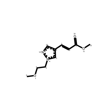 COCCn1cc(/C=C/C(=O)OC)cn1